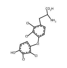 NC(Cc1ccc(Oc2ccc(O)c(Cl)c2Cl)c(Cl)c1Cl)C(=O)O